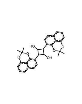 CC1(C)Oc2cccc3ccc(C4C(O)C(c5ccc6cccc7c6c5OC(C)(C)O7)C4O)c(c23)O1